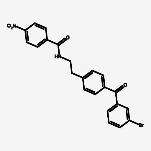 O=C(NCCc1ccc(C(=O)c2cccc(Br)c2)cc1)c1ccc([N+](=O)[O-])cc1